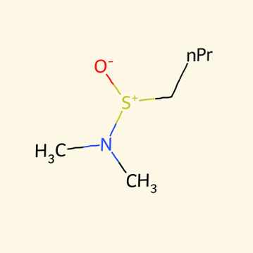 CCCC[S+]([O-])N(C)C